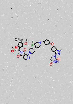 CCOc1cc([C@@H](CS(C)(=O)=O)N2C(=O)c3ccnc(N4CCC([C@H]5CCN(Cc6ccc(Oc7ccc8c(N9CCC(=O)NC9=O)nn(C)c8c7)cc6)CC5(F)F)CC4)c3C2=O)ccc1OC